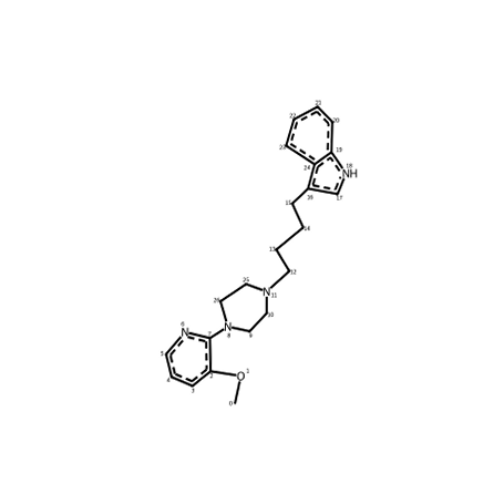 COc1cccnc1N1CCN(CCCCc2c[nH]c3ccccc23)CC1